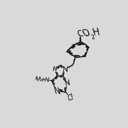 CNc1nc(Cl)nc2c1ncn2Cc1ccc(C(=O)O)cc1